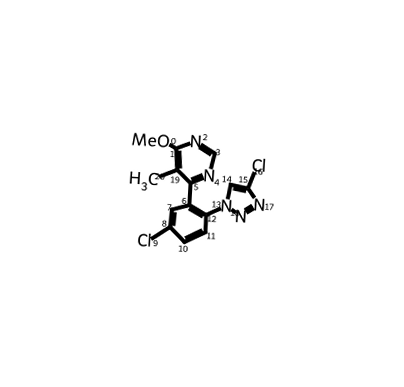 COc1ncnc(-c2cc(Cl)ccc2-n2cc(Cl)nn2)c1C